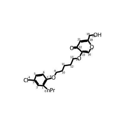 CCCc1cc(Cl)ccc1OCCCCCOc1coc(CO)cc1=O